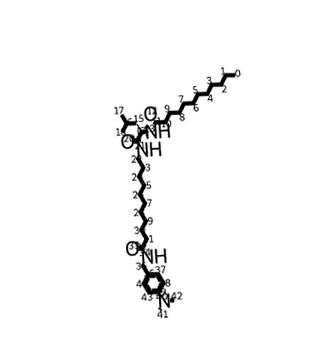 CCCCCCCCCCCC(=O)N[C@@H](CC(C)C)C(=O)NCCCCCCCCCCC(=O)NCc1ccc(N(C)C)cc1